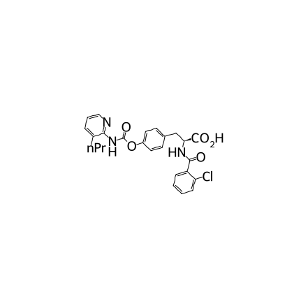 CCCc1cccnc1NC(=O)Oc1ccc(C[C@H](NC(=O)c2ccccc2Cl)C(=O)O)cc1